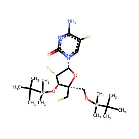 CC(C)(C)[Si](C)(C)OC[C@@]1(CF)O[C@@H](n2cc(F)c(N)nc2=O)[C@@H](F)[C@@H]1O[Si](C)(C)C(C)(C)C